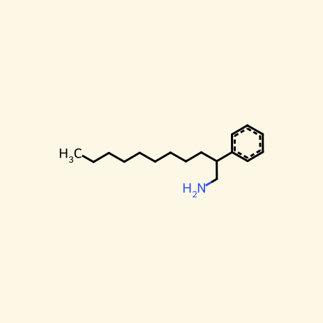 CCCCCCCCCC(CN)c1ccccc1